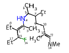 CC/C(=C(/C)NC(C)C(CC)CC/C(C)=C/NC)C(F)CC